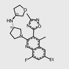 CCc1cc(F)c2nc(N3CC[C@H](N[C@H]4CCOC4)C3)c(-c3nc(C)no3)c(C)c2c1